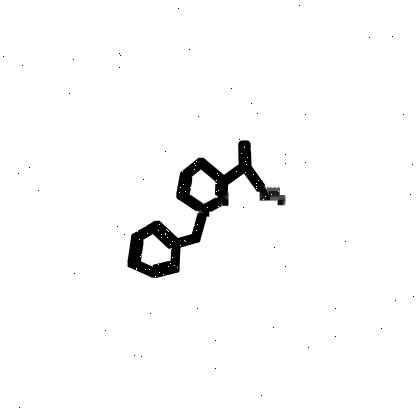 NC(=O)C1=NN(Cc2ccccc2)C=CC1